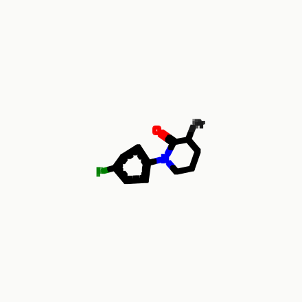 CC(C)C1CCCN(c2ccc(F)cc2)C1=O